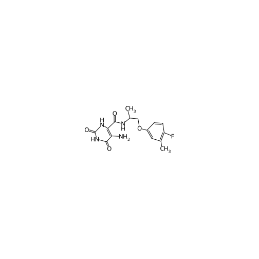 Cc1cc(OCC(C)NC(=O)c2[nH]c(=O)[nH]c(=O)c2N)ccc1F